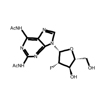 CC(=O)Nc1nc(NC(C)=O)c2ncn([C@@H]3O[C@H](CO)[C@@H](O)[C@@H]3F)c2n1